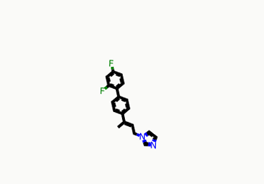 CC(=CCn1ccnc1)c1ccc(-c2ccc(F)cc2F)cc1